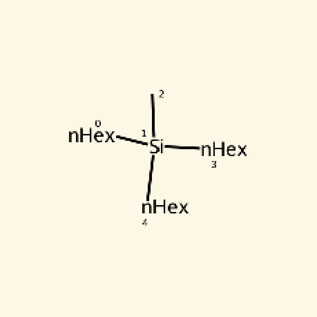 CCCCCC[Si](C)(CCCCCC)CCCCCC